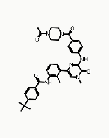 CC(=O)N1CCN(C(=O)c2ccc(Nc3nc(-c4cccc(NC(=O)c5ccc(C(C)(C)C)cc5)c4C)cn(C)c3=O)cc2)CC1